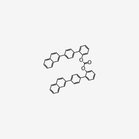 O=C(Oc1ccccc1-c1ccc(-c2ccc3ccccc3c2)cc1)Oc1ccccc1-c1ccc(-c2ccc3ccccc3c2)cc1